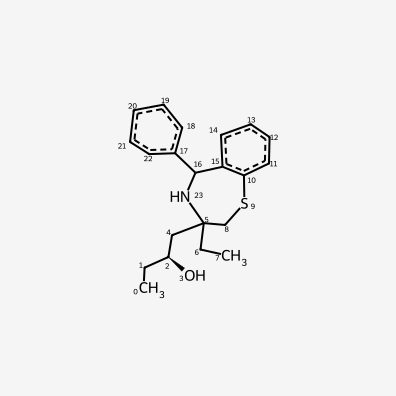 CC[C@H](O)CC1(CC)CSc2ccccc2C(c2ccccc2)N1